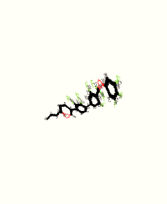 CCCC1CCC(c2ccc(-c3cc(F)c(C(F)(F)Oc4cc(F)c(F)c(F)c4)c(F)c3)c(F)c2F)CO1